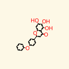 O=c1cc(-c2ccc(Oc3ccccc3)cc2)oc2cc(O)c(O)c(O)c12